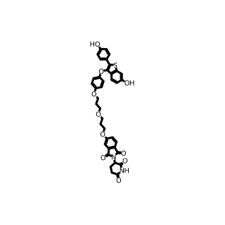 O=C1CCC(N2C(=O)c3ccc(OCCCOCCCOc4ccc(Oc5c(-c6ccc(O)cc6)sc6cc(O)ccc56)cc4)cc3C2=O)C(=O)N1